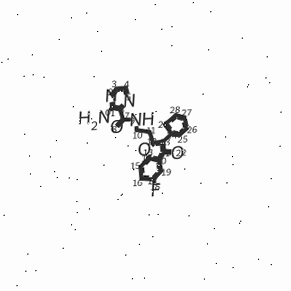 Nc1nccnc1C(=O)NCCc1oc2ccc(F)cc2c(=O)c1-c1ccccc1